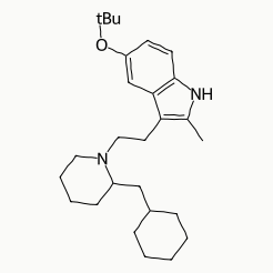 Cc1[nH]c2ccc(OC(C)(C)C)cc2c1CCN1CCCCC1CC1CCCCC1